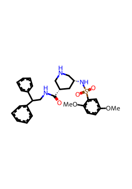 COc1ccc(OC)c(S(=O)(=O)N[C@H]2CNC[C@@H](C(=O)NCC(c3ccccc3)c3ccccc3)C2)c1